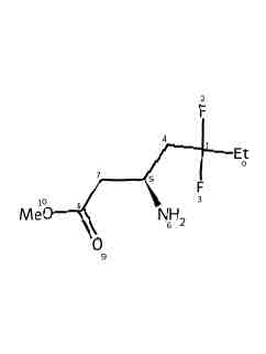 CCC(F)(F)C[C@@H](N)CC(=O)OC